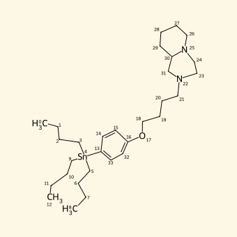 CCC[CH2][Sn]([CH2]CCC)([CH2]CCC)[c]1ccc(OCCCCN2CCN3CCCCC3C2)cc1